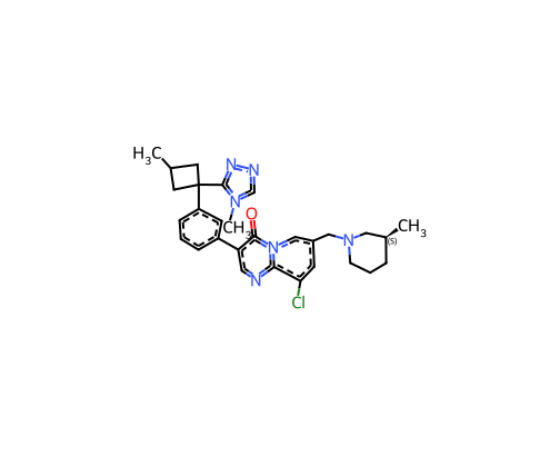 CC1CC(c2cccc(-c3cnc4c(Cl)cc(CN5CCC[C@H](C)C5)cn4c3=O)c2)(c2nncn2C)C1